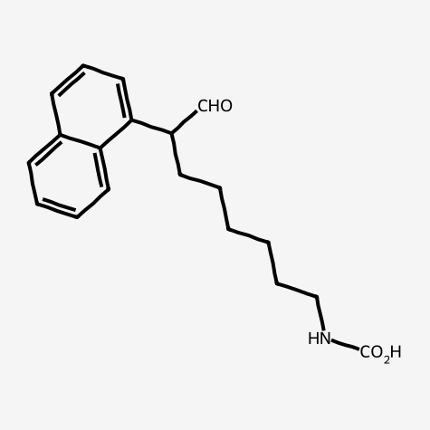 O=CC(CCCCCCNC(=O)O)c1cccc2ccccc12